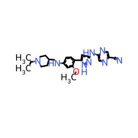 COc1cc(NCC2CCN(C(C)C)CC2)ccc1-c1cc(Nc2cnc(C#N)cn2)n[nH]1